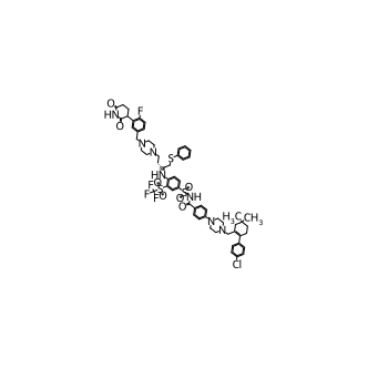 CC1(C)CCC(c2ccc(Cl)cc2)=C(CN2CCN(c3ccc(C(=O)NS(=O)(=O)c4ccc(N[C@H](CCN5CCN(Cc6ccc(F)c(C7CCC(=O)NC7=O)c6)CC5)CSc5ccccc5)c(S(=O)(=O)C(F)(F)F)c4)cc3)CC2)C1